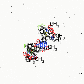 CCOC(=O)c1c(N(Cc2c(F)cccc2C(F)(F)F)C(=O)OCC)sc(-c2ccc(NC(=O)NOCc3ccc(F)c(CN(C(=O)OCC)c4sc(-c5ccc(NC(=O)NOC)cc5)c(CN(C)C)c4C(=O)O)c3C(F)(F)F)cc2)c1CN(C)C